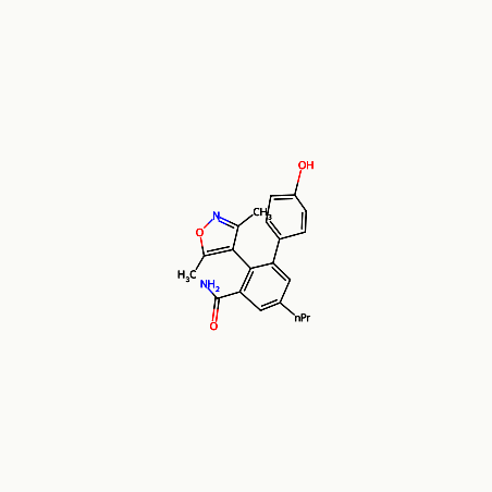 CCCc1cc(C(N)=O)c(-c2c(C)noc2C)c(-c2ccc(O)cc2)c1